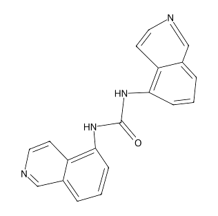 O=C(Nc1cccc2cnccc12)Nc1cccc2cnccc12